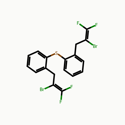 FC(F)=C(Br)Cc1ccccc1Sc1ccccc1CC(Br)=C(F)F